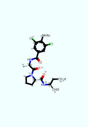 CC(=O)Nc1c(Cl)cc(C(=O)N[C@@H](C)C(=O)N2CCC[C@H]2C(=O)N[C@H](C=O)CC(=O)O)cc1Cl